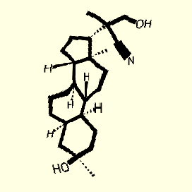 CC(C#N)(CO)[C@H]1CC[C@H]2[C@@H]3CC[C@@H]4C[C@](C)(O)CC[C@@H]4[C@H]3CC[C@]12C